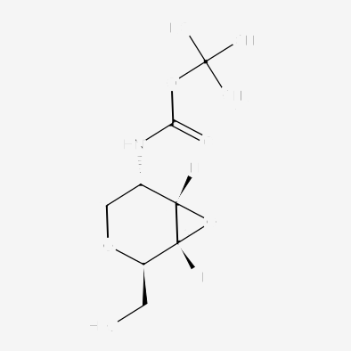 CC[C@H]1OC[C@H](NC(=O)OC(C)(C)C)[C@@H]2O[C@@H]21